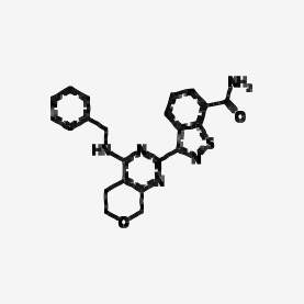 NC(=O)c1cccc2c(-c3nc4c(c(NCc5ccccc5)n3)CCOC4)nsc12